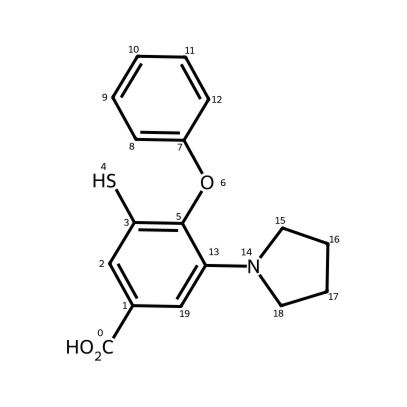 O=C(O)c1cc(S)c(Oc2ccccc2)c(N2CCCC2)c1